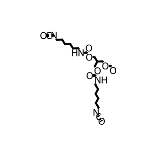 O=C=NCCCCCCNC(=O)OCC(COC=O)COC(=O)NCCCCCCN=C=O